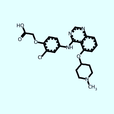 CN1CCC(Oc2cccc3ncnc(Nc4ccc(OCC(=O)O)c(Cl)c4)c23)CC1